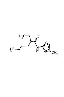 CCCCC(CC)C(=O)Nc1nc(C)co1